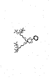 C[Si](C)(C)O[Si](C)(CCCOCC1(COCCC[Si](C)(O[Si](C)(C)C)O[Si](C)(C)C)COC(c2ccccc2)OC1)O[Si](C)(C)C